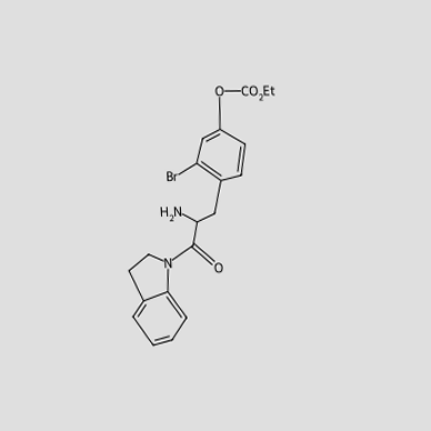 CCOC(=O)Oc1ccc(CC(N)C(=O)N2CCc3ccccc32)c(Br)c1